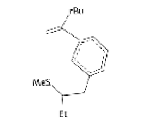 C=C(CCCC)c1cccc(CC(CC)SC)c1